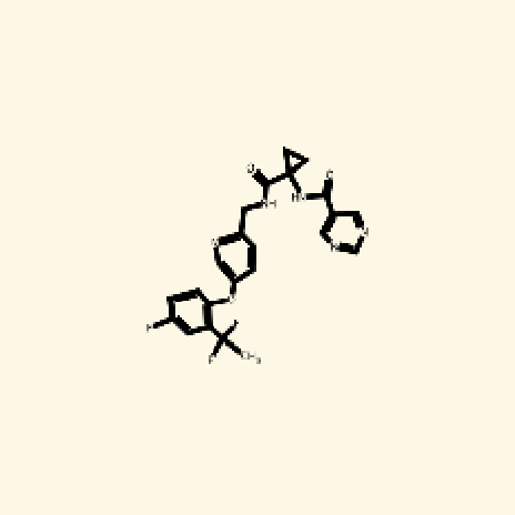 CC(F)(F)c1cc(F)ccc1Oc1ccc(CNC(=O)C2(NC(=O)c3cncnc3)CC2)nc1